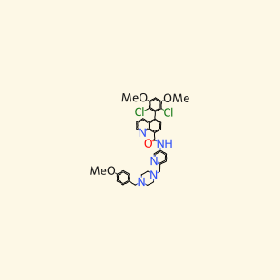 COc1ccc(CN2CCN(Cc3ccc(NC(=O)c4ccc(-c5c(Cl)c(OC)cc(OC)c5Cl)c5cccnc45)cn3)CC2)cc1